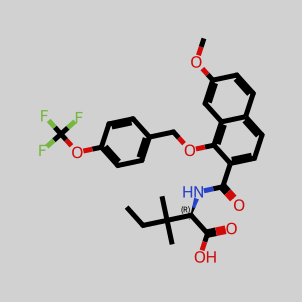 CCC(C)(C)[C@@H](NC(=O)c1ccc2ccc(OC)cc2c1OCc1ccc(OC(F)(F)F)cc1)C(=O)O